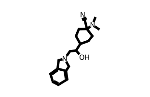 CN(C)C1(C#N)CCC(C(O)CN2Cc3ccccc3C2)CC1